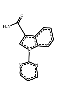 NC(=O)c1cn(-c2ncccn2)c2ccccc12